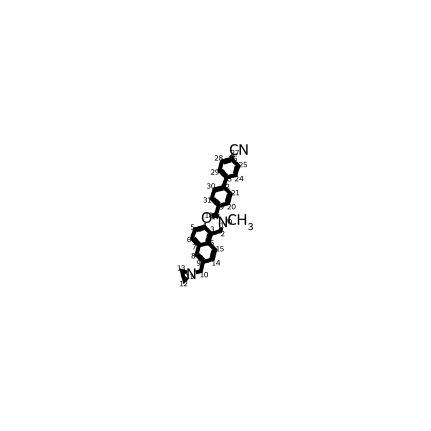 CN(Cc1cccc2cc(CN3CC3)ccc12)C(=O)c1ccc(-c2ccc(C#N)cc2)cc1